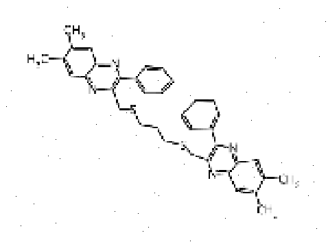 Cc1cc2nc(CSCCCSCc3nc4cc(C)c(C)cc4nc3-c3ccccc3)c(-c3ccccc3)nc2cc1C